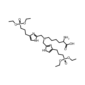 CCOP(=O)(CCCc1c[nH]c(CN(CCCCC(N)C(=O)O)Cc2nc(CCCP(=O)(OCC)OCC)c[nH]2)n1)OCC